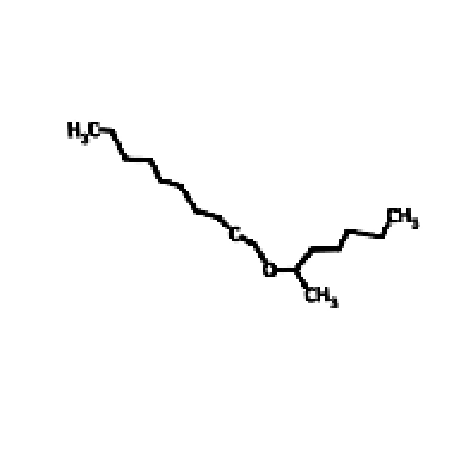 CCCCCCCCCCOC(C)CCCCC